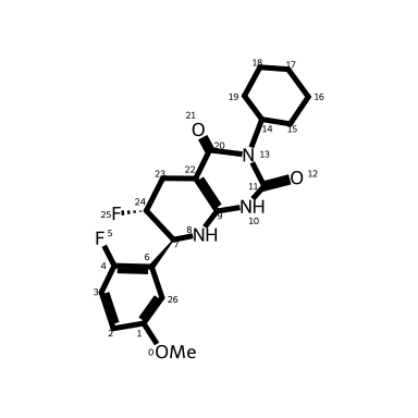 COc1ccc(F)c([C@@H]2Nc3[nH]c(=O)n(C4CCCCC4)c(=O)c3C[C@H]2F)c1